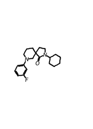 O=C1N(C2CCCCC2)CCC12CCCN(c1cccc(F)c1)C2